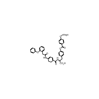 CCCCCCCOc1ccc(C(=O)Oc2ccc(C[C@H](NC(=O)C3=CC=C(NC(=O)Cc4ccccc4Oc4ccccc4)CC3)C(=O)O)cc2)cc1